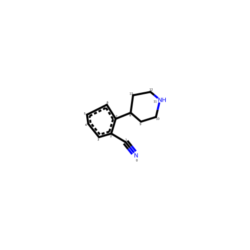 N#Cc1ccccc1C1CCNCC1